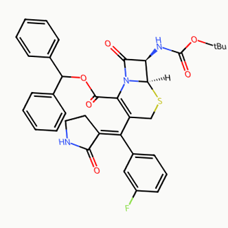 CC(C)(C)OC(=O)N[C@@H]1C(=O)N2C(C(=O)OC(c3ccccc3)c3ccccc3)=C(C(=C3CCNC3=O)c3cccc(F)c3)CS[C@H]12